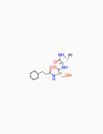 CC(C)C[C@H](NC(=O)[C@H](CO)NC(=O)CCc1ccccc1)C(N)=O